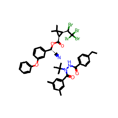 CC1(C)[C@H](C(=O)O[C@H](C#N)c2cccc(Oc3ccccc3)c2)[C@@H]1C(Br)C(Br)(Br)Br.CCc1ccc(C(=O)NN(C(=O)c2cc(C)cc(C)c2)C(C)(C)C)cc1